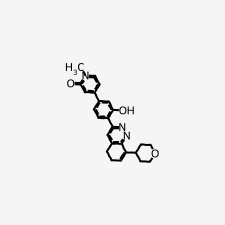 Cn1ccc(-c2ccc(-c3cc4c(nn3)C(C3CCOCC3)=CCC4)c(O)c2)cc1=O